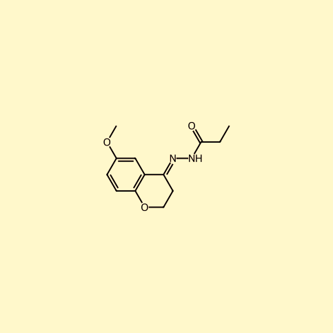 CCC(=O)NN=C1CCOc2ccc(OC)cc21